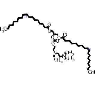 CCCCCCCC/C=C\CCCCCCCC(=O)OCC(COC(=O)CCCCCCC/C=C\CCCCCCCC)OC(=O)OCCN(CC)CCN(C)C